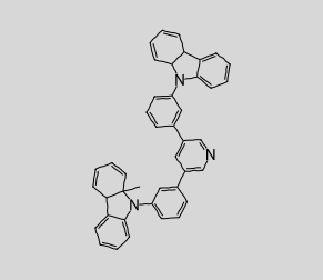 CC12C=CC=CC1c1ccccc1N2c1cccc(-c2cncc(-c3cccc(N4c5ccccc5C5C=CC=CC54)c3)c2)c1